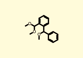 CO[C](OC)c1ccccc1C(OC)c1ccccc1